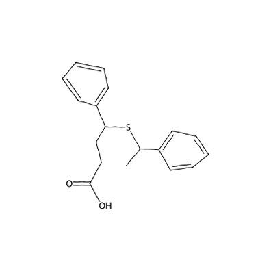 CC(SC(CCC(=O)O)c1ccccc1)c1ccccc1